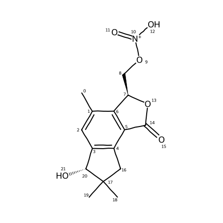 Cc1cc2c(c3c1[C@@H](CO[N+](=O)O)OC3=O)CC(C)(C)[C@@H]2O